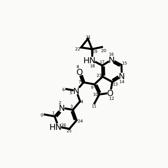 CC1=NC(CN(C)C(=O)c2c(C)oc3ncnc(NC4(C)CC4)c23)=CCN1